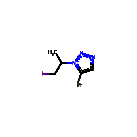 CC(C)c1cnnn1C(C)CI